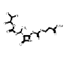 CNC(=O)CCSC(=S)S[C@H]1NC(=O)[C@@H]1C(C)OC(=O)OC(Cl)C(Cl)Cl